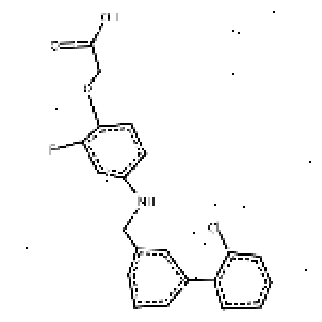 O=C(O)COc1ccc(NCc2cccc(-c3ccccc3Cl)c2)cc1F